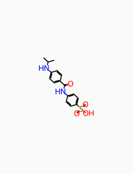 CC(C)Nc1ccc(C(=O)Nc2ccc(S(=O)(=O)O)cc2)cc1